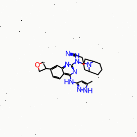 Cc1cc(Nc2nc(NC3CC4CCCC(C3)N4CCC#N)nc3cc(C4COC4)ccc23)n[nH]1